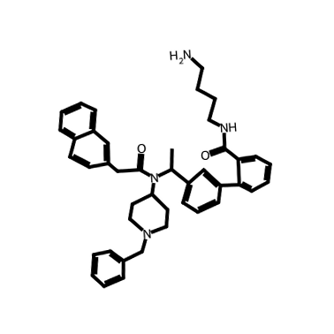 CC(c1cccc(-c2ccccc2C(=O)NCCCCN)c1)N(C(=O)Cc1ccc2ccccc2c1)C1CCN(Cc2ccccc2)CC1